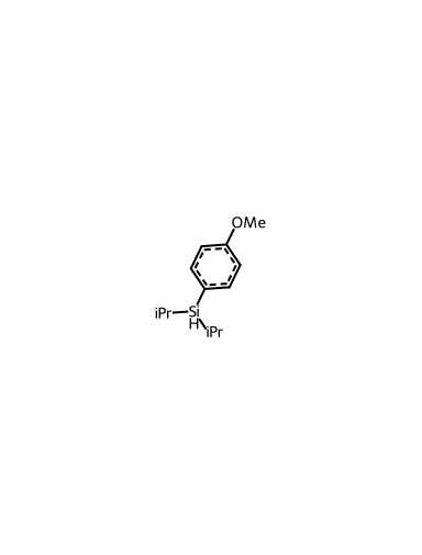 COc1ccc([SiH](C(C)C)C(C)C)cc1